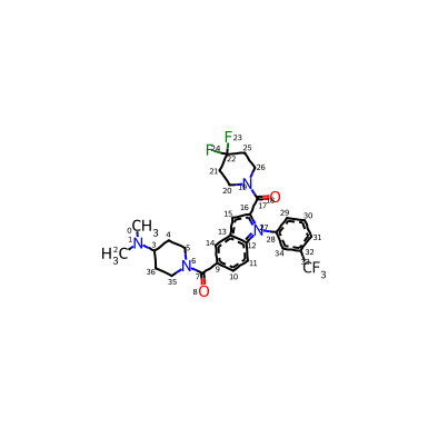 CN(C)C1CCN(C(=O)c2ccc3c(c2)cc(C(=O)N2CCC(F)(F)CC2)n3-c2cccc(C(F)(F)F)c2)CC1